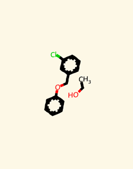 CCO.Clc1cccc(COc2ccccc2)c1